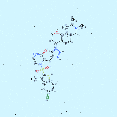 Cc1c(S(=O)(=O)N2C=CNC(=O)C2Cc2cn(C3CCOc4cc(CN(C)C(C)C)ccc43)nn2)sc2ccc(Cl)cc12